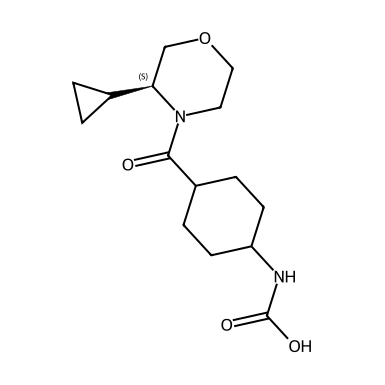 O=C(O)NC1CCC(C(=O)N2CCOC[C@@H]2C2CC2)CC1